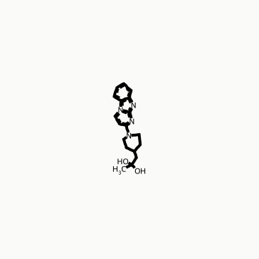 CC(O)(O)CC1CCN(c2ccn3c(n2)nc2ccccc23)CC1